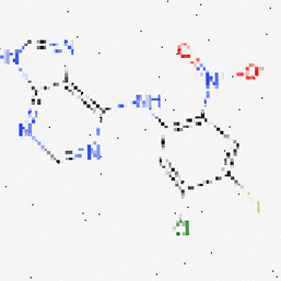 O=[N+]([O-])c1cc(F)c(Cl)cc1Nc1ncnc2[nH]cnc12